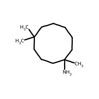 CC1(C)CCCCCC(C)(N)CCC1